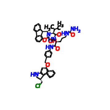 CC(C)[C@@H](C(=O)N[C@@H](CCCNC(N)=O)C(=O)Nc1ccc(COc2cc3c(c4ccccc24)[C@H](CCl)CN3)cc1)N(CC1c2ccccc2-c2ccccc21)C(=O)O